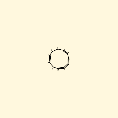 C1=C=CC=CCCC=C[CH]C=1